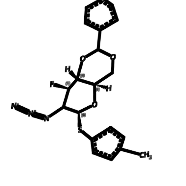 Cc1ccc(S[C@@H]2O[C@@H]3COC(c4ccccc4)O[C@H]3[C@H](F)C2N=[N+]=[N-])cc1